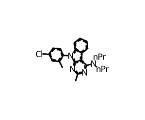 CCCN(CCC)c1nc(C)nc2c1c1ccccc1n2-c1ccc(Cl)cc1C